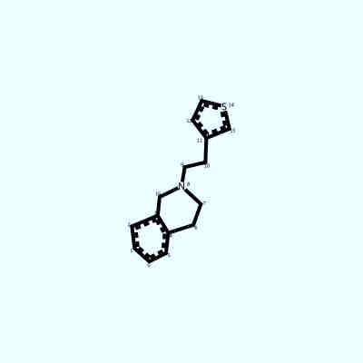 c1ccc2c(c1)CCN(CCc1ccsc1)C2